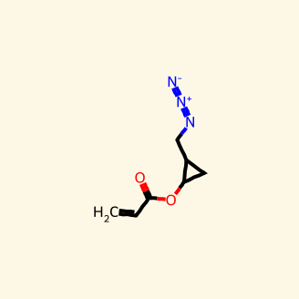 C=CC(=O)OC1CC1CN=[N+]=[N-]